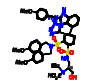 COc1ccc(CN(Cc2ccc(OC)cc2)S(=O)(=O)c2c(S(=O)(=O)NC[C@@H](CO)N(C(=O)O)C(C)(C)C)ccc(-c3cccc4[nH]c(N)nc34)c2-c2nnn(Cc3ccc(OC)cc3)n2)cc1